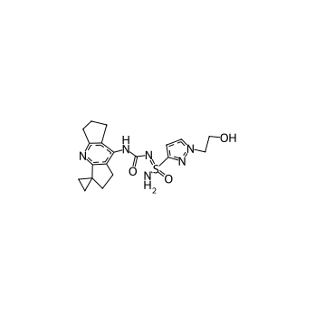 N[S@](=O)(=NC(=O)Nc1c2c(nc3c1CCC31CC1)CCC2)c1ccn(CCO)n1